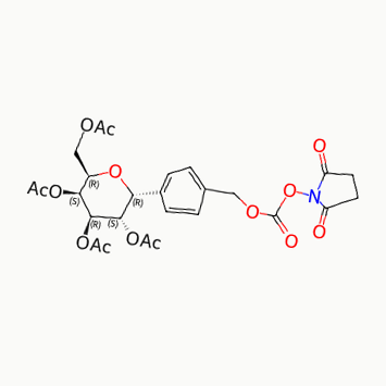 CC(=O)OC[C@H]1O[C@H](c2ccc(COC(=O)ON3C(=O)CCC3=O)cc2)[C@H](OC(C)=O)[C@@H](OC(C)=O)[C@H]1OC(C)=O